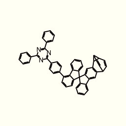 C1=CC2C3C=CC1c1cc4c(cc1C23)C1(c2ccccc2-4)c2ccccc2-c2c(-c3ccc(-c4nc(-c5ccccc5)nc(-c5ccccc5)n4)cc3)cccc21